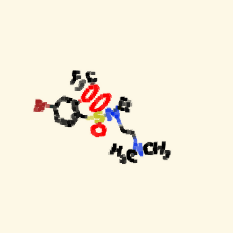 CCN(CCN(C)C)S(=O)(=O)c1ccc(Br)cc1OC(F)(F)F